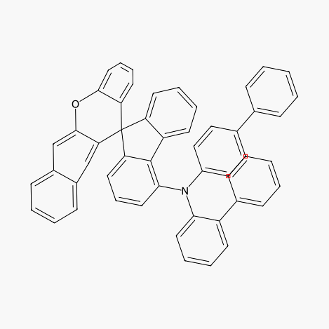 c1ccc(-c2ccc(N(c3ccccc3-c3ccccc3)c3cccc4c3-c3ccccc3C43c4ccccc4Oc4cc5ccccc5cc43)cc2)cc1